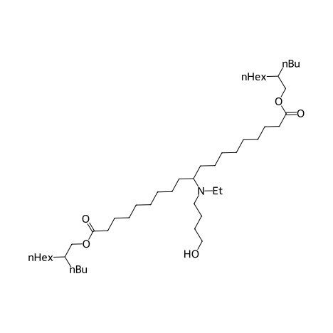 CCCCCCC(CCCC)COC(=O)CCCCCCCCC(CCCCCCCCC(=O)OCC(CCCC)CCCCCC)N(CC)CCCCO